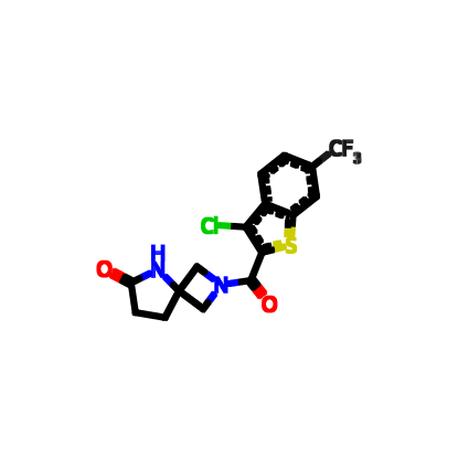 O=C1CCC2(CN(C(=O)c3sc4cc(C(F)(F)F)ccc4c3Cl)C2)N1